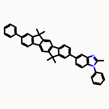 Cc1nc2cc(-c3ccc4c(c3)C(C)(C)c3cc5c(cc3-4)C(C)(C)c3cc(-c4ccccc4)ccc3-5)ccc2n1-c1ccccc1